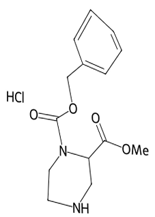 COC(=O)C1CNCCN1C(=O)OCc1ccccc1.Cl